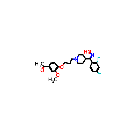 COc1cc(C(C)=O)ccc1OCCCN1CCC(/C(=N\O)c2ccc(F)cc2F)CC1